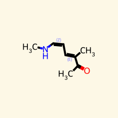 CN/C=C\C=C(/C)C(C)=O